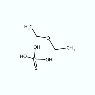 CCOCC.OP(O)(O)=S